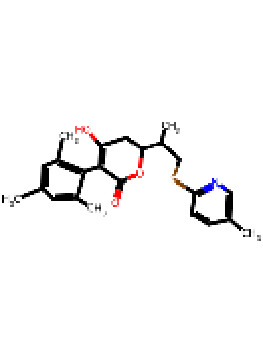 Cc1ccc(SCC(C)C2CC(O)=C(c3c(C)cc(C)cc3C)C(=O)O2)nc1